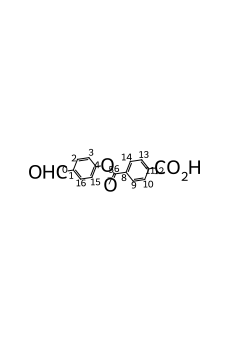 O=Cc1ccc(OC(=O)c2ccc(C(=O)O)cc2)cc1